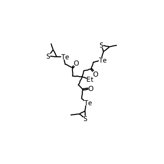 CCC(CC(=O)C[Te]C1SC1C)(CC(=O)C[Te]C1SC1C)CC(=O)C[Te]C1SC1C